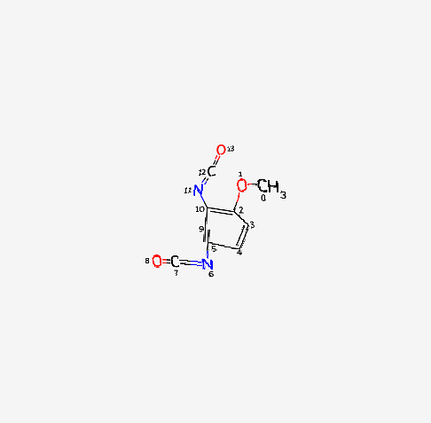 COc1ccc(N=C=O)cc1N=C=O